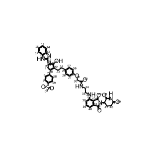 CS(=O)(=O)c1ccc(-c2nn(-c3nc4ccccc4[nH]3)c(O)c2CCc2ccc(OCC(=O)NCCNc3cccc4c3C(=O)N(C3CCC(=O)NC3=O)C4=O)cc2)cc1